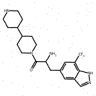 NC(Cc1cc(C(F)(F)F)c2[nH]ncc2c1)C(=O)N1CCC(C2CCNCC2)CC1